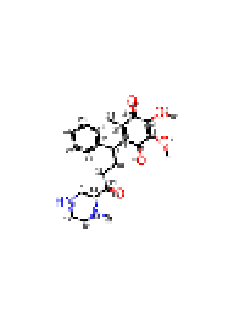 COC1=C(OC)C(=O)C(C(CCC(=O)C2CNCCN2C)c2ccccc2)=C(C)C1=O